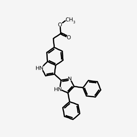 COC(=O)Cc1ccc2c(-c3nc(-c4ccccc4)c(-c4ccccc4)[nH]3)c[nH]c2c1